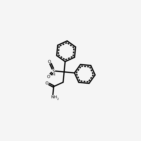 NC(=O)CC(c1ccccc1)(c1ccccc1)[SH](=O)=O